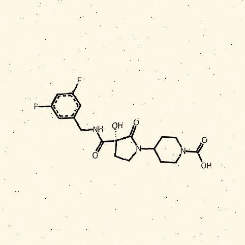 O=C(O)N1CCC(N2CC[C@@](O)(C(=O)NCc3cc(F)cc(F)c3)C2=O)CC1